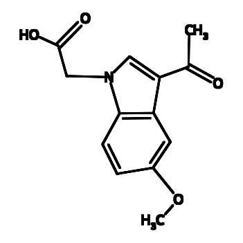 COc1ccc2c(c1)c(C(C)=O)cn2CC(=O)O